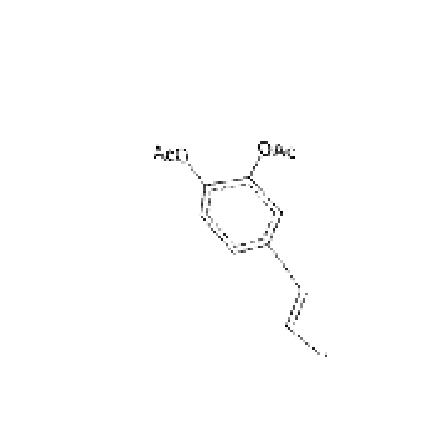 [CH2]/C=C/c1ccc(OC(C)=O)c(OC(C)=O)c1